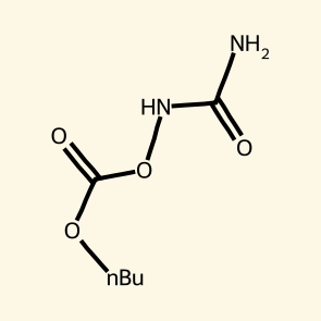 CCCCOC(=O)ONC(N)=O